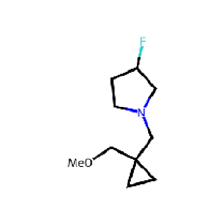 COCC1(CN2CCC(F)C2)CC1